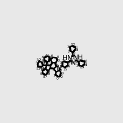 C1=CC2c3c4c(c5ccccc5c3N(c3ccc(C5N=C(c6ccccc6)NC(c6ccccc6)N5)cc3)C2C=C1)C(c1ccccc1)(c1ccccc1)c1ccccc1-4